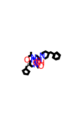 CC(C)N(CC(=O)N1CCC(Cc2ccccc2)CC1)NC(=O)[C@H](CC1CCCC1)CN(O)C=O